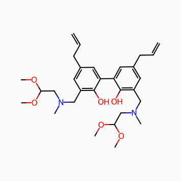 C=CCc1cc(CN(C)CC(OC)OC)c(O)c(-c2cc(CC=C)cc(CN(C)CC(OC)OC)c2O)c1